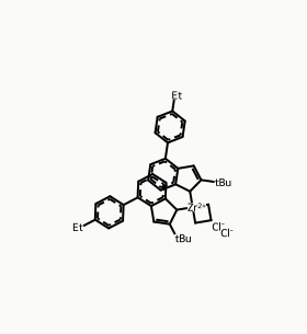 CCc1ccc(-c2cccc3c2C=C(C(C)(C)C)[CH]3[Zr+2]2([CH]3C(C(C)(C)C)=Cc4c(-c5ccc(CC)cc5)cccc43)[CH2]C[CH2]2)cc1.[Cl-].[Cl-]